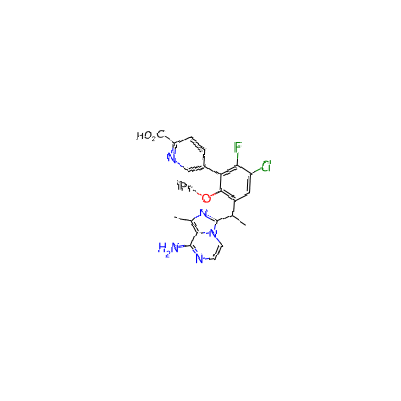 Cc1nc(C(C)c2cc(Cl)c(F)c(-c3ccc(C(=O)O)nc3)c2OC(C)C)n2ccnc(N)c12